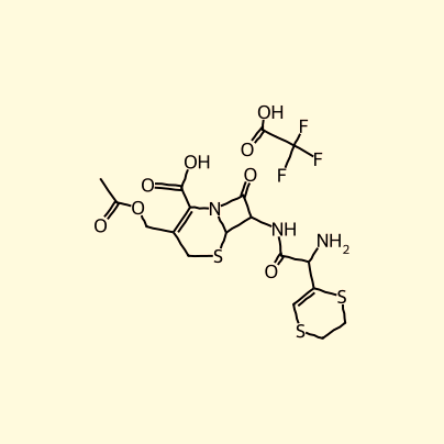 CC(=O)OCC1=C(C(=O)O)N2C(=O)C(NC(=O)C(N)C3=CSCCS3)C2SC1.O=C(O)C(F)(F)F